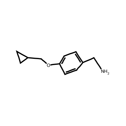 NCc1ccc(OCC2CC2)cc1